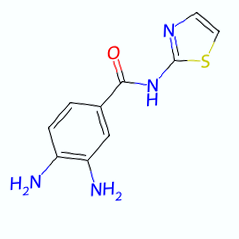 Nc1ccc(C(=O)Nc2nccs2)cc1N